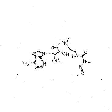 CN(CCNC(=O)N(C)N=O)C[C@H]1O[C@@H](n2cnc3c(N)ncnc32)[C@H](O)[C@@H]1O